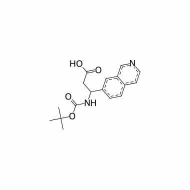 CC(C)(C)OC(=O)NC(CC(=O)O)c1ccc2ccncc2c1